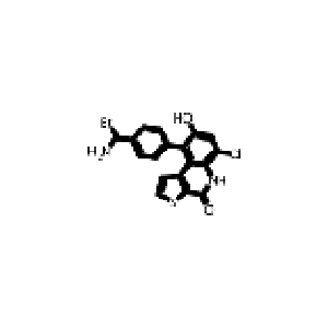 CCC(N)c1ccc(-c2c(O)cc(Cl)c3[nH]c(=O)c4sccc4c23)cc1